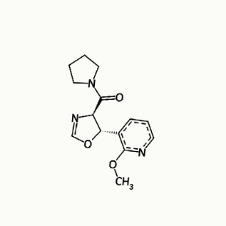 COc1ncccc1[C@@H]1OC=N[C@H]1C(=O)N1CCCC1